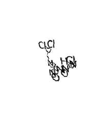 COc1cc2c(cn1)C1(CCN(CC=Cc3ccc(Cl)c(Cl)c3)CC1)CN2C(=O)NCc1ccnc(Cl)c1